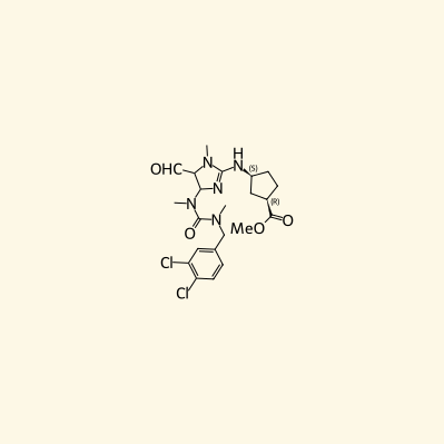 COC(=O)[C@@H]1CC[C@H](NC2=NC(N(C)C(=O)N(C)Cc3ccc(Cl)c(Cl)c3)C(C=O)N2C)C1